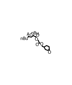 CCCCC(CC(CCCC)C(=O)OCC(=O)OCC1CCC2OC2C1)C(C)=O